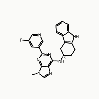 Cn1cnc2c(N[C@@H]3CCc4[nH]c5ccccc5c4C3)nc(-c3cncc(F)c3)nc21